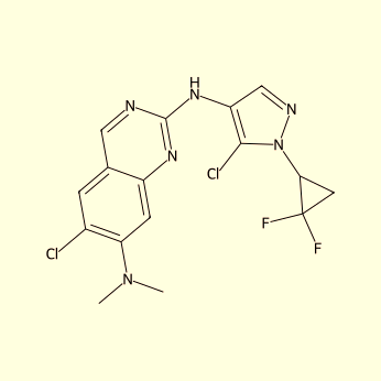 CN(C)c1cc2nc(Nc3cnn(C4CC4(F)F)c3Cl)ncc2cc1Cl